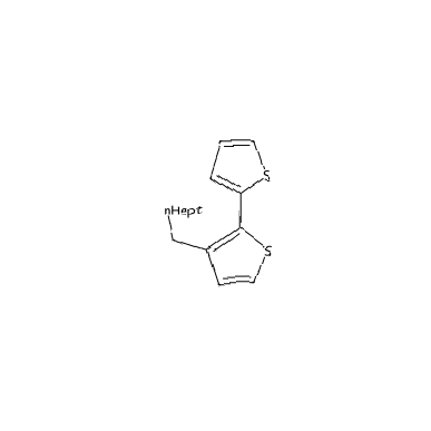 CCCCCCCCc1ccsc1-c1cccs1